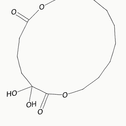 O=C1CCCC(O)(O)C(=O)OCCCCCCCCCO1